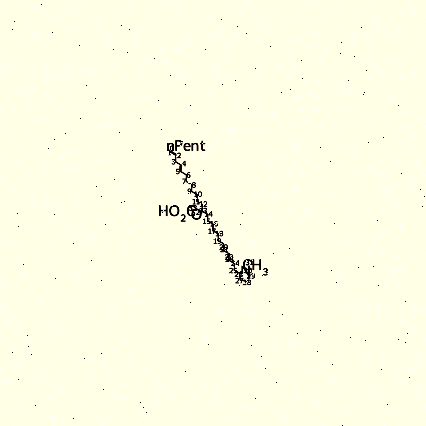 CCCCCC=CCC=CCCCCCCCC(CCCCCCCCCCCCC1CCCN1C)OC(=O)O